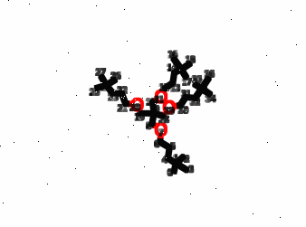 CC(C)(C)CCCOCC(COCCCC(C)(C)C)(COCCCC(C)(C)C)COCCCC(C)(C)C